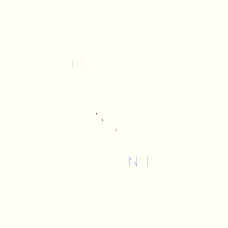 CCCCCCCCN.[Na]